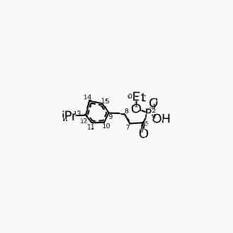 CCOP(=O)(O)C(=O)CCc1ccc(C(C)C)cc1